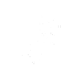 Cn1ncc2cc(S(=O)(Cl)=N[Si](C)(C)C(C)(C)C)ccc21